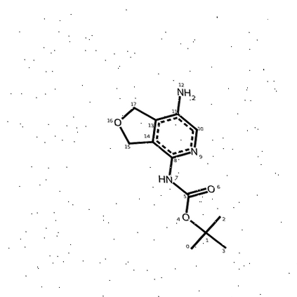 CC(C)(C)OC(=O)Nc1ncc(N)c2c1COC2